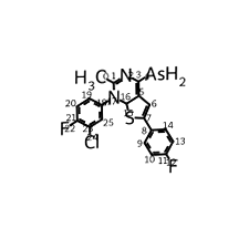 CC1=NC([AsH2])=C2C=C(c3ccc(F)cc3)SC2N1c1ccc(F)c(Cl)c1